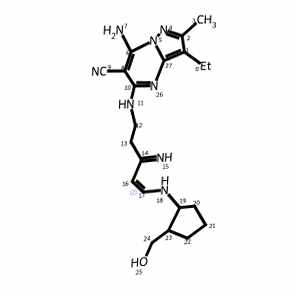 CCc1c(C)nn2c(N)c(C#N)c(NCCC(=N)/C=C\NC3CCCC3CO)nc12